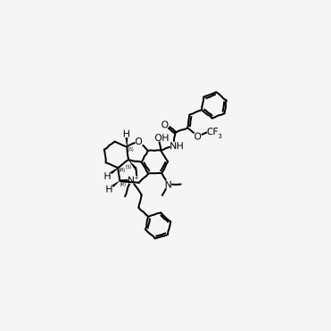 CN(C)C1=CC(O)(NC(=O)C(=Cc2ccccc2)OC(F)(F)F)C2O[C@H]3CCC[C@H]4[C@H]5CC1=C2[C@@]34CC[N+]5(C)CCc1ccccc1